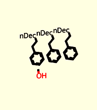 CCCCCCCCCCCCc1ccccc1.CCCCCCCCCCCCc1ccccc1.CCCCCCCCCCCCc1ccccc1.CO